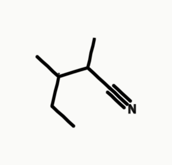 CC[C](C)C(C)C#N